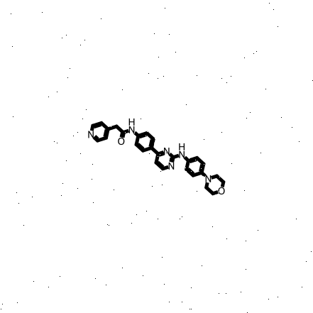 O=C(Cc1ccncc1)Nc1ccc(-c2ccnc(Nc3ccc(N4CCOCC4)cc3)n2)cc1